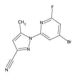 Cc1cc(C#N)nn1-c1cc(Br)cc(F)n1